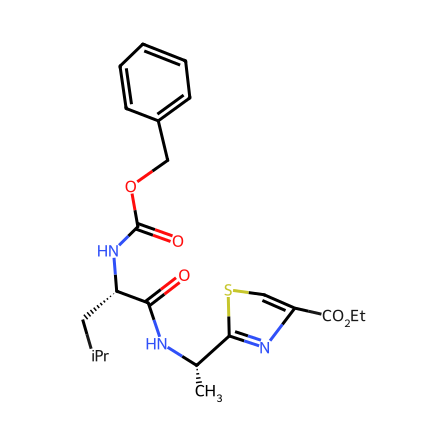 CCOC(=O)c1csc([C@H](C)NC(=O)[C@H](CC(C)C)NC(=O)OCc2ccccc2)n1